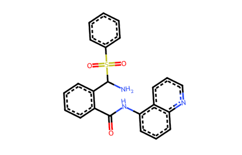 NC(c1ccccc1C(=O)Nc1cccc2ncccc12)S(=O)(=O)c1ccccc1